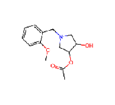 COc1ccccc1CN1CC(O)C(OC(C)=O)C1